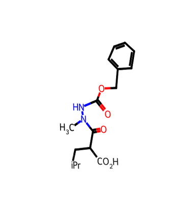 CC(C)CC(C(=O)O)C(=O)N(C)NC(=O)OCc1ccccc1